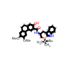 COc1cc2c(cc1OC)-c1cc(C(=O)NC(CO[Si](C)(C)C(C)(C)C)Cc3c[nH]c4ccccc34)c(O)cc1CC2